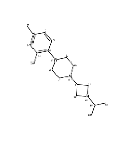 Cc1ccc(N2CCN(C3CN(C(C)C)C3)CC2)c(C)c1